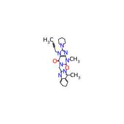 CC#CCn1c(N2CCCCC2)nc2c1c(=O)n(Cc1nc(C)c3c(n1)=CCCC=3)c(=O)n2C